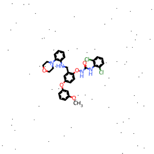 COc1cccc(Oc2ccc(ONC(=O)Nc3c(Cl)cccc3Cl)c(CNc3ccccc3N3CCOCC3)c2)c1